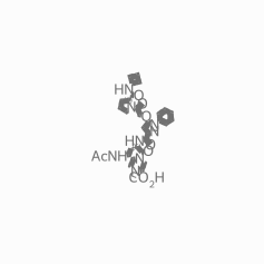 CC(=O)NCC[C@H](NC(=O)c1cc(OCC(=O)N2CCC[C@H]2C(=O)NC2CCC2)n(-c2ccccc2)n1)C(=O)N1CCN(C(=O)O)CC1